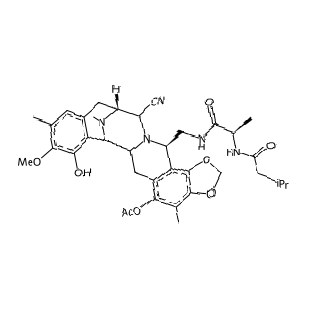 COc1c(C)cc2c(c1O)C1C3Cc4c(OC(C)=O)c(C)c5c(c4[C@H](CNC(=O)[C@@H](C)NC(=O)CC(C)C)N3C(C#N)[C@@H](C2)N1C)OCO5